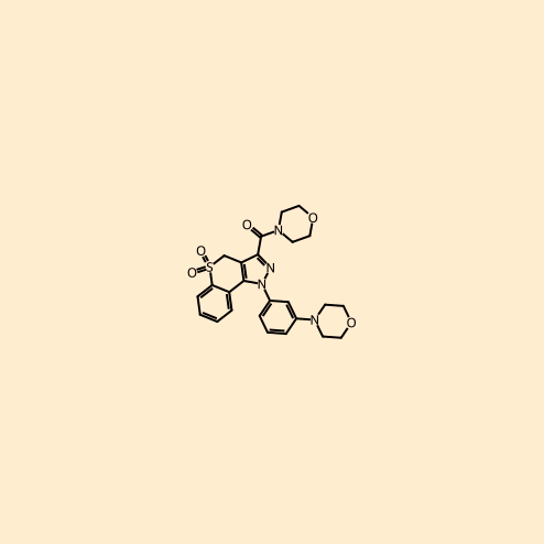 O=C(c1nn(-c2cccc(N3CCOCC3)c2)c2c1CS(=O)(=O)c1ccccc1-2)N1CCOCC1